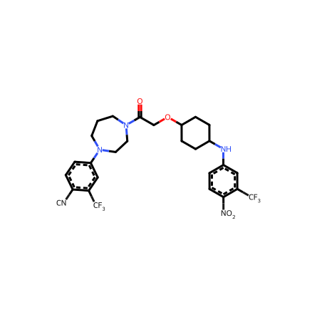 [C-]#[N+]c1ccc(N2CCCN(C(=O)COC3CCC(Nc4ccc([N+](=O)[O-])c(C(F)(F)F)c4)CC3)CC2)cc1C(F)(F)F